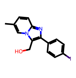 Cc1ccc2nc(-c3ccc(I)cc3)c(CO)n2c1